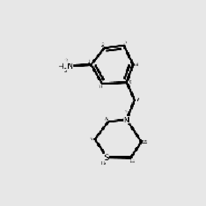 Nc1cccc(CN2CCSCC2)c1